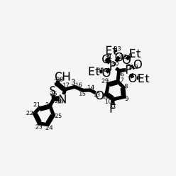 CCOP(=O)(OCC)C(c1ccc(F)c(OCCCc2nc(-c3ccccc3)sc2C)c1)P(=O)(OCC)OCC